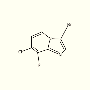 Fc1c(Cl)ccn2c(Br)cnc12